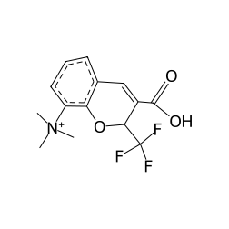 C[N+](C)(C)c1cccc2c1OC(C(F)(F)F)C(C(=O)O)=C2